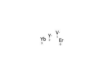 [Er].[V].[Y].[Yb]